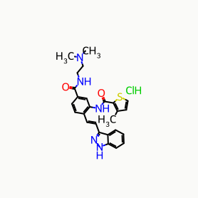 Cc1ccsc1C(=O)Nc1cc(C(=O)NCCN(C)C)ccc1C=Cc1n[nH]c2ccccc12.Cl